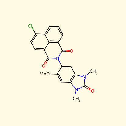 COc1cc2c(cc1N1C(=O)c3cccc4c(Cl)ccc(c34)C1=O)n(C)c(=O)n2C